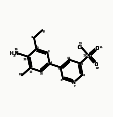 CCc1cc(-c2cncc(S(=O)(=O)Cl)c2)cc(C)c1N